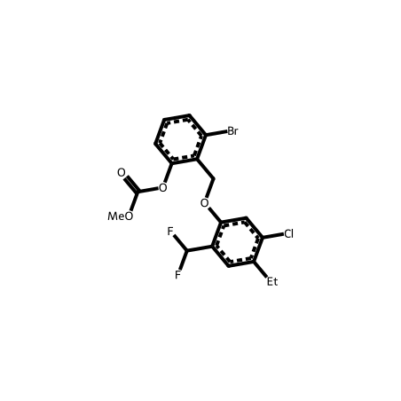 CCc1cc(C(F)F)c(OCc2c(Br)cccc2OC(=O)OC)cc1Cl